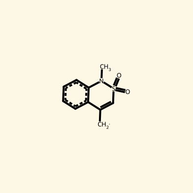 [CH2]C1=CS(=O)(=O)N(C)c2ccccc21